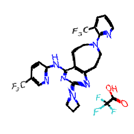 FC(F)(F)c1ccc(Nc2nc(N3CCC3)nc3c2CCN(c2ncccc2C(F)(F)F)CC3)nc1.O=C(O)C(F)(F)F